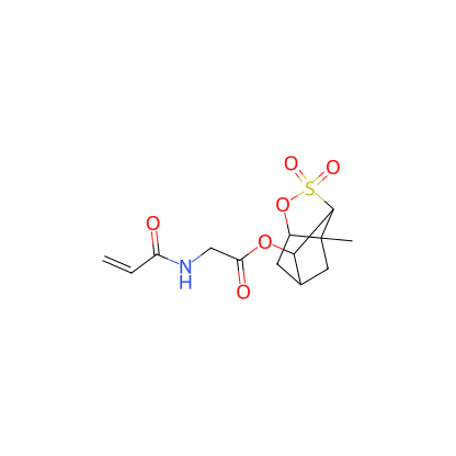 C=CC(=O)NCC(=O)OC1C2CC3OS(=O)(=O)C1C3(C)C2